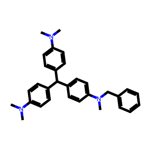 CN(C)c1ccc(C(c2ccc(N(C)C)cc2)c2ccc(N(C)Cc3ccccc3)cc2)cc1